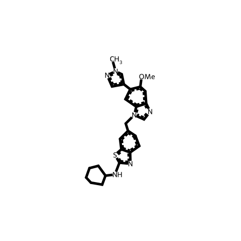 COc1cc2ncn(Cc3ccc4nc(NC5CCCCC5)sc4c3)c2cc1-c1cnn(C)c1